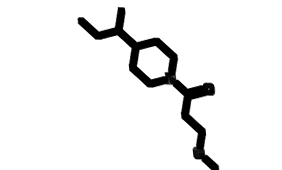 CCC(C)C1CCN(C(=O)CCOC)CC1